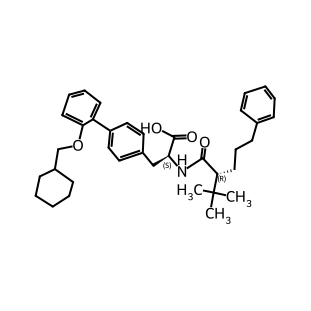 CC(C)(C)[C@@H](CCCc1ccccc1)C(=O)N[C@@H](Cc1ccc(-c2ccccc2OCC2CCCCC2)cc1)C(=O)O